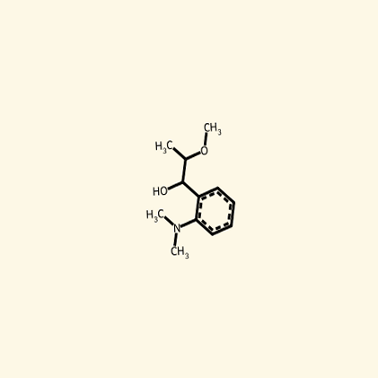 COC(C)C(O)c1ccccc1N(C)C